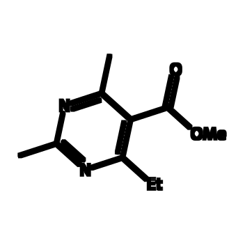 CCc1nc(C)nc(C)c1C(=O)OC